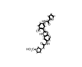 O=C(C[C@H]1CCN(C(=O)O)C1)Nc1cnc2nc(-c3cc(NC(=O)c4ccco4)ccc3Cl)[nH]c2c1